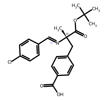 CC(C)(C)OC(=O)[C@](C)(Cc1ccc(C(=O)O)cc1)/N=C/c1ccc(Cl)cc1